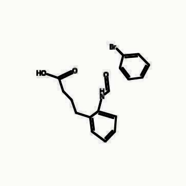 Brc1ccccc1.O=CNc1ccccc1CCCC(=O)O